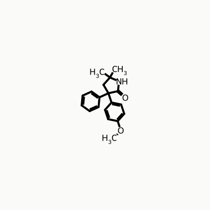 COc1ccc(C2(c3ccccc3)CC(C)(C)NC2=O)cc1